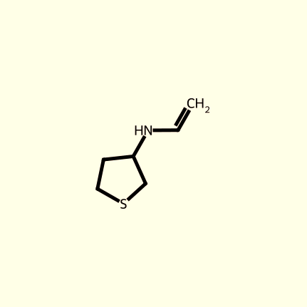 C=CNC1CCSC1